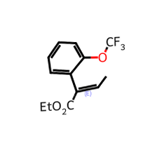 C/C=C(/C(=O)OCC)c1ccccc1OC(F)(F)F